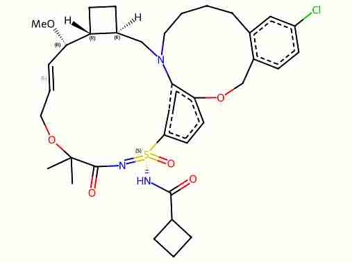 CO[C@H]1/C=C/COC(C)(C)C(=O)N=[S@@](=O)(NC(=O)C2CCC2)c2ccc3c(c2)N(CCCCc2cc(Cl)ccc2CO3)C[C@@H]2CC[C@H]21